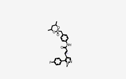 CC1CC(C)OP(=O)(Cc2ccc(NC(=O)/C=C/c3cnn(C)c3-c3ccc(F)cc3)cc2)O1